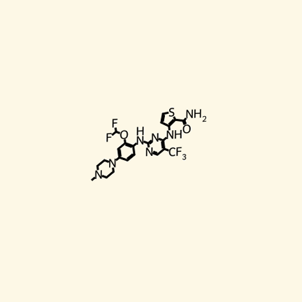 CN1CCN(c2ccc(Nc3ncc(C(F)(F)F)c(Nc4ccsc4C(N)=O)n3)c(OC(F)F)c2)CC1